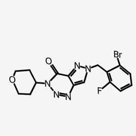 O=c1c2nn(Cc3c(F)cccc3Br)cc2nnn1C1CCOCC1